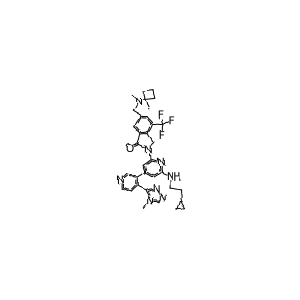 CN(Cc1cc2c(c(C(F)(F)F)c1)CN(c1cc(-c3cnccc3-c3nncn3C)cc(NCCC3CC3)n1)C2=O)C1(C)CCC1